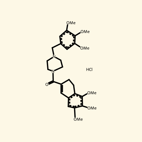 COc1cc(CN2CCN(C(=O)C3=Cc4cc(OC)c(OC)c(OC)c4CC3)CC2)cc(OC)c1OC.Cl